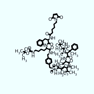 C/C(=C\C(C(C)C)N(C)C(=O)C(NC(=O)C(N(C)C(=O)OC(C)(C)C)C(C)(C)c1ccccc1)C(C)(C)C)C(=O)NS(=O)(=O)Cc1ccc(CNC(=O)C(CCCCNC(=O)OC(C)(C)C)NC(=O)C(Cc2ccccc2)NC(=O)CCCCCN2C(=O)C=CC2=O)cc1